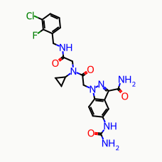 NC(=O)Nc1ccc2c(c1)c(C(N)=O)nn2CC(=O)N(CC(=O)NCc1cccc(Cl)c1F)C1CC1